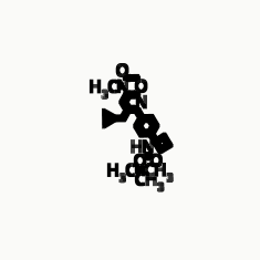 CN1C(=O)COc2nc(-c3ccc(C4(NC(=O)OC(C)(C)C)CCC4)cc3)c(CC3CC3)cc21